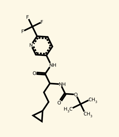 CC(C)(C)OC(=O)NC(CCC1CC1)C(=O)Nc1ccc(C(F)(F)F)nc1